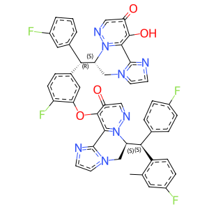 Cc1cc(F)ccc1[C@H](c1ccc(F)cc1)[C@H]1Cn2ccnc2-c2c(Oc3cc([C@H](c4cccc(F)c4)[C@H]4Cn5ccnc5-c5c(O)c(=O)cnn54)ccc3F)c(=O)cnn21